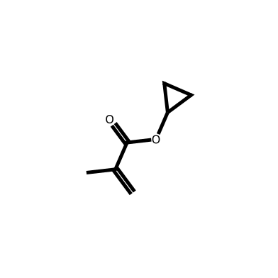 C=C(C)C(=O)OC1CC1